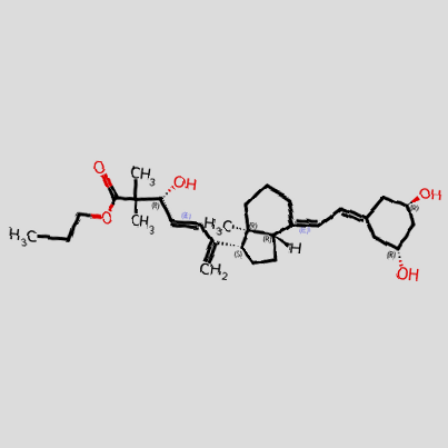 C=C(/C=C/[C@@H](O)C(C)(C)C(=O)OCCC)[C@H]1CC[C@H]2/C(=C/C=C3C[C@@H](O)C[C@H](O)C3)CCC[C@]12C